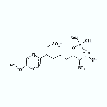 CC(C)CC(N)C(CCCC(CS(=O)(=O)O)c1ncc(OC(C)C)cn1)O[Si](C)(C)C(C)(C)C